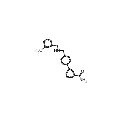 Cc1cccc(CNCc2ccc(-c3cccc(C(N)=O)c3)cc2)c1